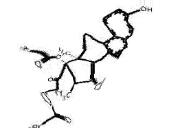 CCCC(=O)OCC(=O)[C@]1(OC(=O)CCC)[C@H](C)C(Cl)=C2c3ccc4cc(O)ccc4c3CC[C@@]21C